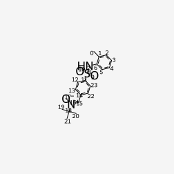 Cc1ccccc1NS(=O)(=O)c1ccc(C=[N+]([O-])C(C)(C)C)cc1